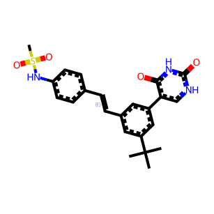 CC(C)(C)c1cc(/C=C/c2ccc(NS(C)(=O)=O)cc2)cc(-c2c[nH]c(=O)[nH]c2=O)c1